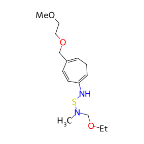 CCOCN(C)SNC1=CCC=C(COCCOC)C=C1